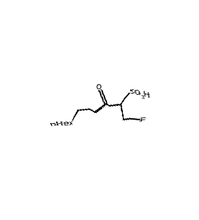 CCCCCCCCC(=O)C(CF)S(=O)(=O)O